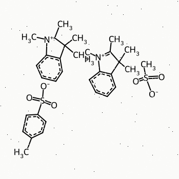 CC1=[N+](C)c2ccccc2C1(C)C.CC1=[N+](C)c2ccccc2C1(C)C.CS(=O)(=O)[O-].Cc1ccc(S(=O)(=O)[O-])cc1